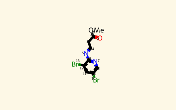 COC(=O)CC=Nc1ncc(Br)cc1Br